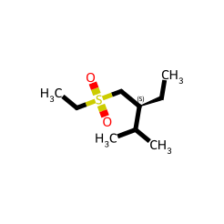 CC[C@H](CS(=O)(=O)CC)C(C)C